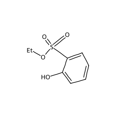 CCOS(=O)(=O)c1ccccc1O